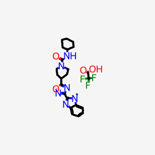 Cn1c(-c2noc(C3CCN(C(=O)NC4CCCCC4)CC3)n2)nc2ccccc21.O=C(O)C(F)(F)F